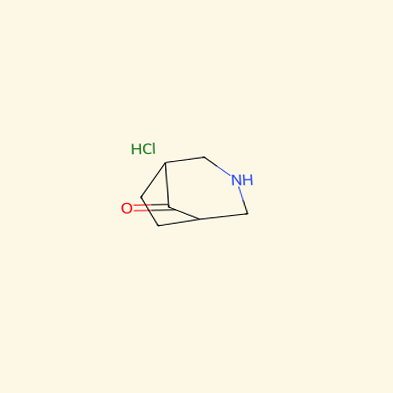 Cl.O=C1C2CCC1CNC2